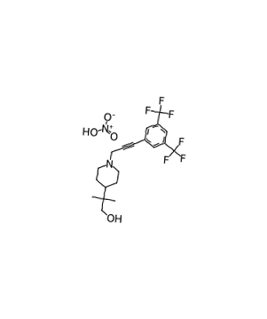 CC(C)(CO)C1CCN(CC#Cc2cc(C(F)(F)F)cc(C(F)(F)F)c2)CC1.O=[N+]([O-])O